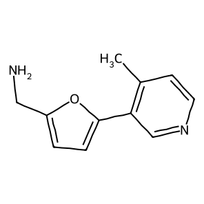 Cc1ccncc1-c1ccc(CN)o1